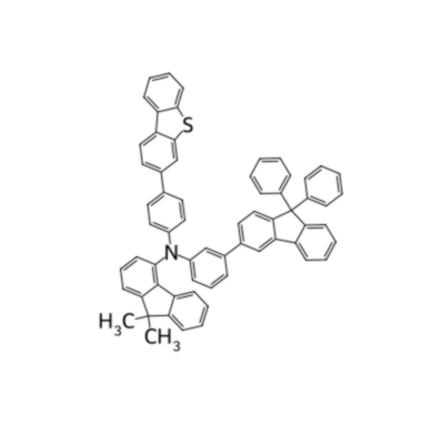 CC1(C)c2ccccc2-c2c(N(c3ccc(-c4ccc5c(c4)sc4ccccc45)cc3)c3cccc(-c4ccc5c(c4)-c4ccccc4C5(c4ccccc4)c4ccccc4)c3)cccc21